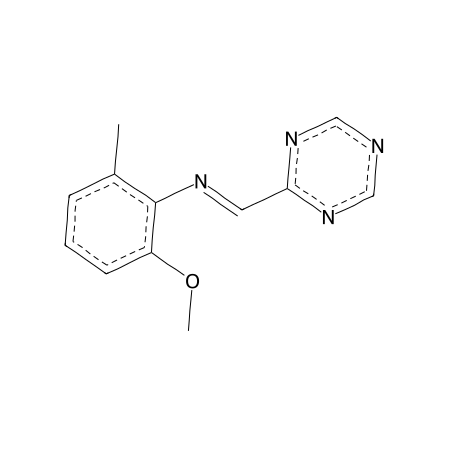 COc1cccc(C)c1/N=C/c1ncncn1